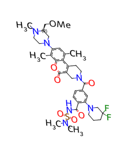 COC[C@H]1CN(c2cc(C)c3c4c(c(=O)oc3c2C)CN(C(=O)c2ccc(C(=O)NS(=O)(=O)N(C)C)c(N3CCCC(F)(F)C3)c2)CC4)CCN1C